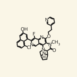 CN1C(=O)C2C3CCC(CN2c2c1c(OCCc1cccnc1)nc1c(F)c(-c4cc(O)cc5cccc(Cl)c45)ncc21)N3